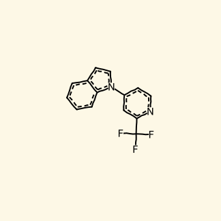 FC(F)(F)c1cc(-n2ccc3ccccc32)ccn1